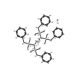 C[Si](C)(Cc1ccccc1)[N]([Nd+][N]([Si](C)(C)Cc1ccccc1)[Si](C)(C)Cc1ccccc1)[Si](C)(C)Cc1ccccc1.[F-]